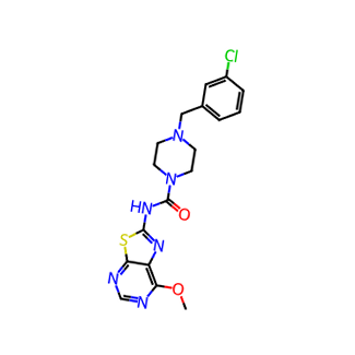 COc1ncnc2sc(NC(=O)N3CCN(Cc4cccc(Cl)c4)CC3)nc12